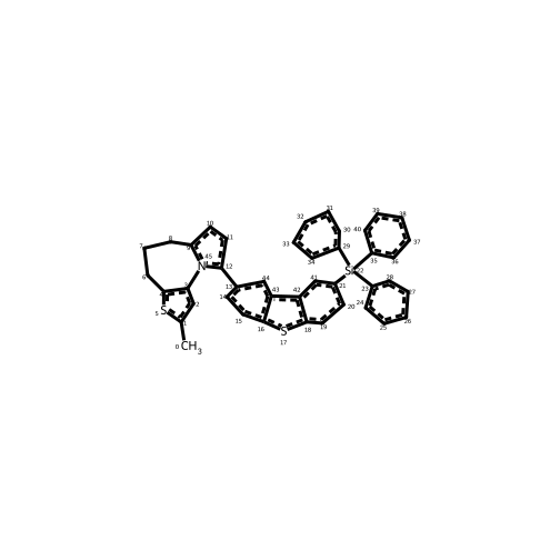 Cc1cc2c(s1)CCCc1ccc(-c3ccc4sc5ccc([Si](c6ccccc6)(c6ccccc6)c6ccccc6)cc5c4c3)n1-2